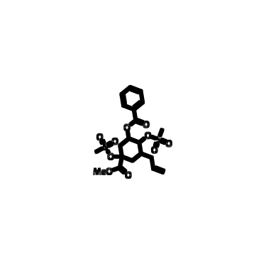 C=CCC1CC(OS(C)(=O)=O)(C(=O)OC)CC(OC(=O)c2ccccc2)C1OS(C)(=O)=O